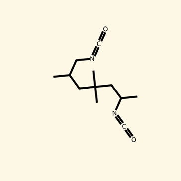 CC(CN=C=O)CC(C)(C)CC(C)N=C=O